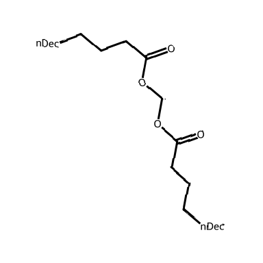 CCCCCCCCCCCCCC(=O)O[CH]OC(=O)CCCCCCCCCCCCC